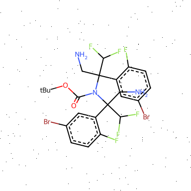 CC(C)(C)OC(=O)N(C(CN)(c1cc(Br)ccc1F)C(F)F)C(CN)(c1cc(Br)ccc1F)C(F)F